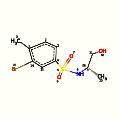 Cc1ccc(S(=O)(=O)N[C@@H](C)CO)cc1Br